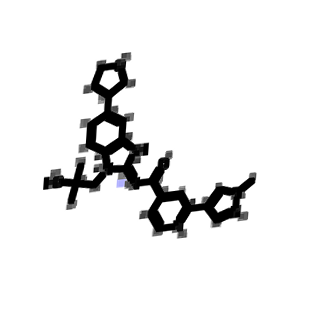 Cn1cc(-c2cc(C(=O)/N=c3\[nH]c4cc(C5CCOC5)ccc4n3CC(C)(C)O)ccn2)cn1